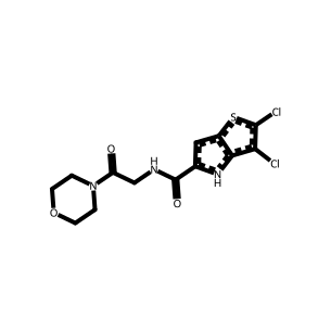 O=C(NCC(=O)N1CCOCC1)c1cc2sc(Cl)c(Cl)c2[nH]1